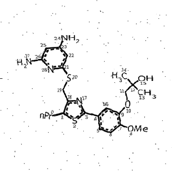 CCCc1sc(-c2ccc(OC)c(OCC(C)(C)O)c2)nc1CSc1cc(N)cc(N)n1